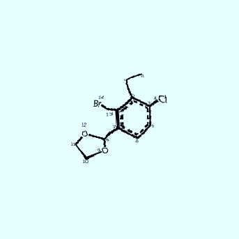 CCc1c(Cl)ccc(C2OCCO2)c1Br